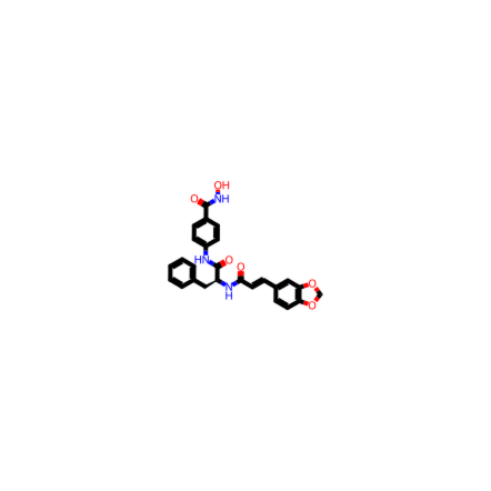 O=C(/C=C/c1ccc2c(c1)OCO2)N[C@@H](Cc1ccccc1)C(=O)Nc1ccc(C(=O)NO)cc1